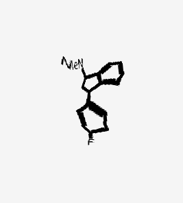 CNC1CC(c2ccc(F)cc2)c2ccccc21